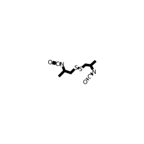 CC(CSSCC(C)N=C=O)N=C=O